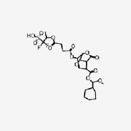 COC(OC(=O)C1C2OC3C(OC(=O)C31)C2OC(=O)CCC(=O)OC(C)C(F)(F)S(=O)(=O)O)C1CCCCC1